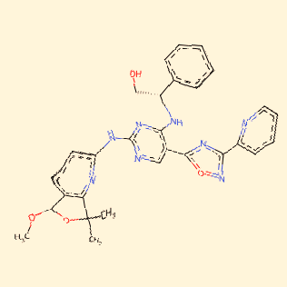 COC1OC(C)(C)c2nc(Nc3ncc(-c4nc(-c5ccccn5)no4)c(N[C@H](CO)c4ccccc4)n3)ccc21